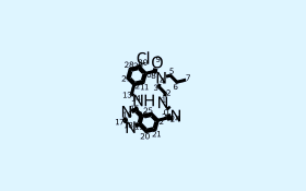 C=NCCN(CCC)C(=O)c1cc(CNc2ncnc3ccc(C#N)cc23)ccc1Cl